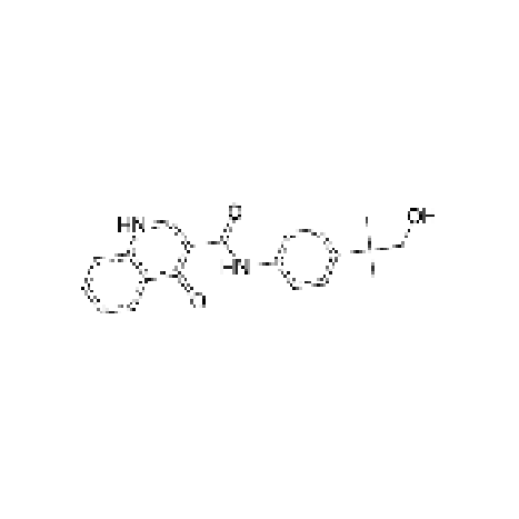 CC(C)(CO)c1ccc(NC(=O)c2c[nH]c3ccccc3c2=O)cc1